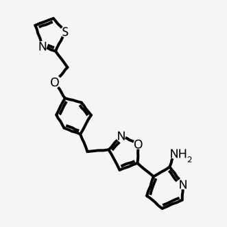 Nc1ncccc1-c1cc(Cc2ccc(OCc3nccs3)cc2)no1